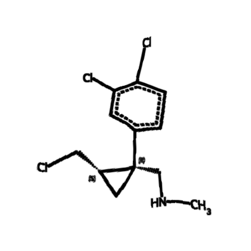 CNC[C@]1(c2ccc(Cl)c(Cl)c2)C[C@@H]1CCl